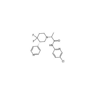 CC(C(=O)Nc1ccc(Cl)cn1)N1CCC(F)(F)[C@@H](c2ccncc2)C1